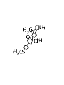 CSc1ccc(-c2ccn(-c3ccc4c5c(n(C)c4c3)CCCNC5)c(=O)c2)cc1.Cl